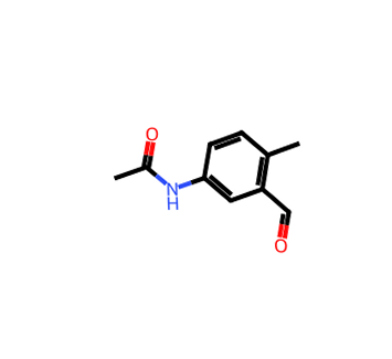 CC(=O)Nc1ccc(C)c(C=O)c1